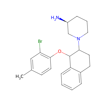 Cc1ccc(OC2c3ccccc3CCC2N2CCC[C@H](N)C2)c(Br)c1